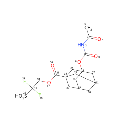 O=C(NC(=O)C(F)(F)F)OC12CC3CC(C1)CC(C(=O)OCC(F)(F)S(=O)(=O)O)(C3)C2